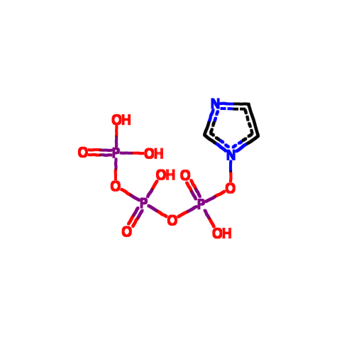 O=P(O)(O)OP(=O)(O)OP(=O)(O)On1ccnc1